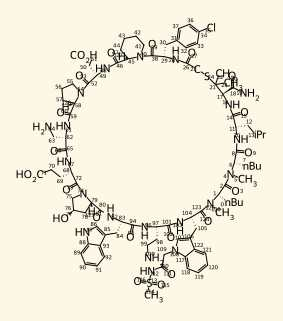 CCCC[C@H]1C(=O)N(C)[C@@H](CCCC)C(=O)N[C@@H](CC(C)C)C(=O)N[C@H](C(N)=O)C(C)(C)SCC(=O)N[C@@H](Cc2ccc(Cl)cc2)C(=O)N2CCCC[C@H]2C(=O)N[C@@H](CC(=O)O)C(=O)N2CCC[C@H]2C(=O)N[C@@H](CN)C(=O)N[C@@H](CCC(=O)O)C(=O)N2C[C@H](O)C[C@H]2C(=O)N[C@@H](Cc2c[nH]c3ccccc23)C(=O)N[C@@H](CCN)C(=O)N[C@@H](Cc2cn(CC(=O)NS(C)(=O)=O)c3ccccc23)C(=O)N1C